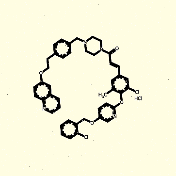 Cc1cc(C=CC(=O)N2CCN(Cc3ccc(CCOc4ccc5ncccc5c4)cc3)CC2)cc(Cl)c1Oc1ccc(OCc2ccccc2Cl)cn1.Cl